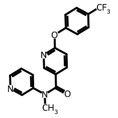 CN(C(=O)c1ccc(Oc2ccc(C(F)(F)F)cc2)nc1)c1cccnc1